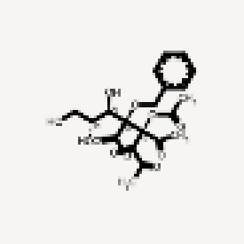 CC(=O)O[C@@](C(C)=O)(C(=O)C(C)=O)[C@](OCc1ccccc1)(C(C)=O)[C@H](O)[C@H](O)CO